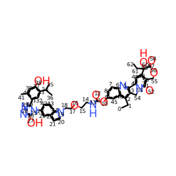 CCc1c2c(nc3ccc(OC(=O)NCCOCCn4ccc5cc(-n6c(O)nnc6-c6cc(C(C)C)c(O)cc6C)ccc54)cc13)-c1cc3c(c(=O)n1C2)COC(=O)C3(O)CC